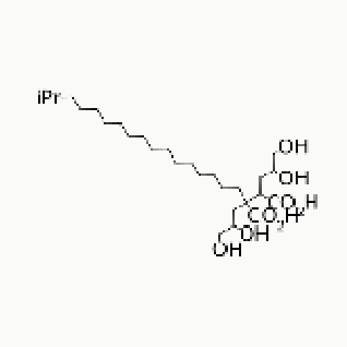 CC(C)CCCCCCCCCCCCCCCC(CC(O)CO)(C(=O)O)C(CC(O)CO)C(=O)O